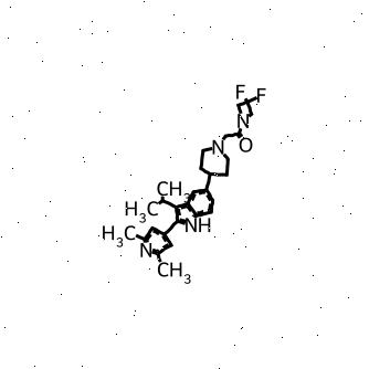 Cc1cc(-c2[nH]c3ccc(C4CCN(CC(=O)N5CC(F)(F)C5)CC4)cc3c2C(C)C)cc(C)n1